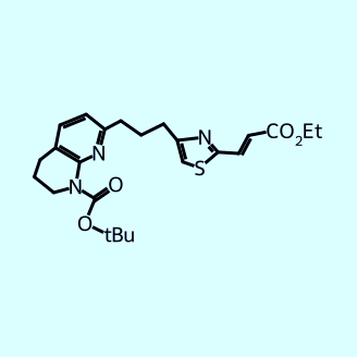 CCOC(=O)/C=C/c1nc(CCCc2ccc3c(n2)N(C(=O)OC(C)(C)C)CCC3)cs1